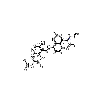 C=C/C=C(/c1cc(C)nc2c(OCc3c(Cl)cncc3CN(C)C(=O)CN(C)C)cccc12)N(C)C